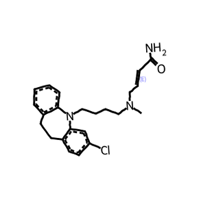 CN(C/C=C/C(N)=O)CCCCN1c2ccccc2CCc2ccc(Cl)cc21